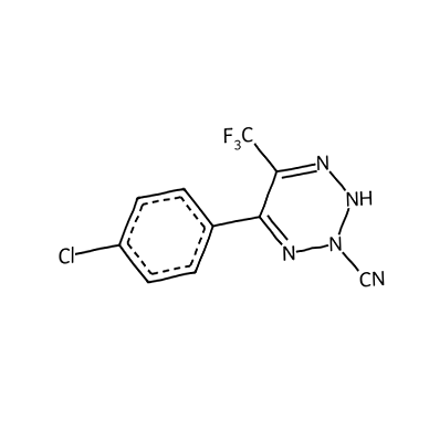 N#CN1N=C(c2ccc(Cl)cc2)C(C(F)(F)F)=NN1